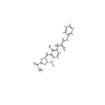 CO[C@@H]1CN(C(=O)O)C[C@H]1Oc1cccc(NC(=O)OCc2ccccc2)c1F